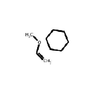 C1CCCCC1.C=COC